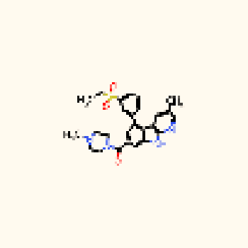 CCS(=O)(=O)c1cccc(-c2cc(C(=O)N3CCN(C)CC3)cc3[nH]c4ncc(C)cc4c23)c1